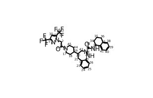 O=C(Cn1nc(C(F)(F)F)cc1C(F)(F)F)N1CCC(C2Cc3ccccc3NN(C(=O)NC3CCCc4ccccc43)C2)CC1